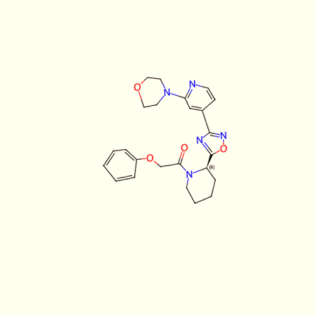 O=C(COc1ccccc1)N1CCCC[C@@H]1c1nc(-c2ccnc(N3CCOCC3)c2)no1